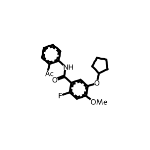 COc1cc(F)c(C(=O)Nc2ccccc2C(C)=O)cc1OC1CCCC1